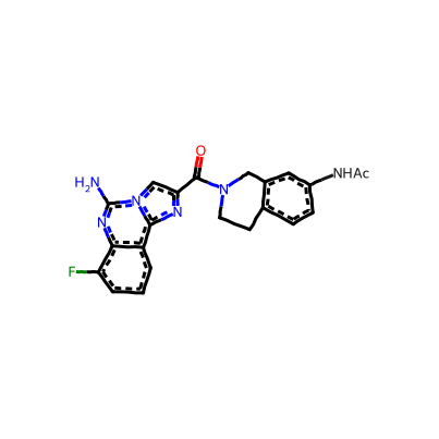 CC(=O)Nc1ccc2c(c1)CN(C(=O)c1cn3c(N)nc4c(F)cccc4c3n1)CC2